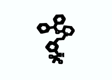 CS(=O)(=O)Nc1cccc(CCN2CCCCC2OC(c2ccccc2)c2ccccc2)c1